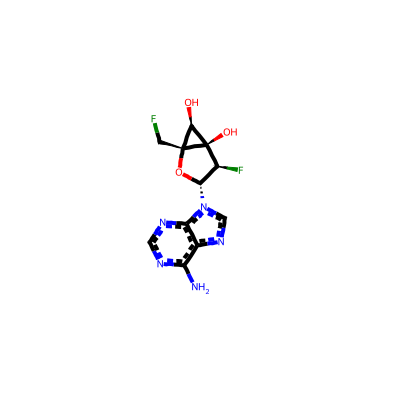 Nc1ncnc2c1ncn2[C@@H]1O[C@]2(CF)[C@@H](O)[C@]2(O)[C@H]1F